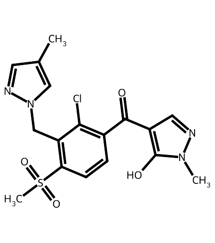 Cc1cnn(Cc2c(S(C)(=O)=O)ccc(C(=O)c3cnn(C)c3O)c2Cl)c1